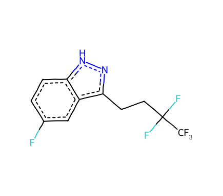 Fc1ccc2[nH]nc(CCC(F)(F)C(F)(F)F)c2c1